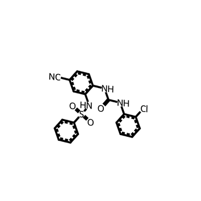 N#Cc1ccc(NC(=O)Nc2ccccc2Cl)c(NS(=O)(=O)c2ccccc2)c1